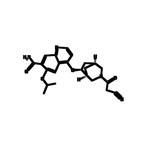 CC(C)Oc1cc2c(O[C@H]3C[C@@H]4C[C@H]3CN(C(=O)CC#N)C4)ccnc2cc1C(N)=O